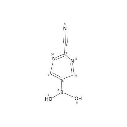 N#Cc1ncc(B(O)O)cn1